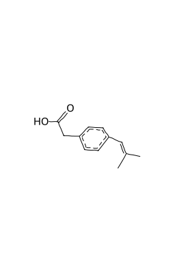 CC(C)=Cc1ccc(CC(=O)O)cc1